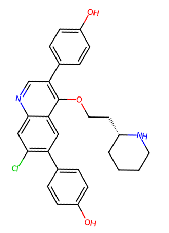 Oc1ccc(-c2cc3c(OCC[C@H]4CCCCN4)c(-c4ccc(O)cc4)cnc3cc2Cl)cc1